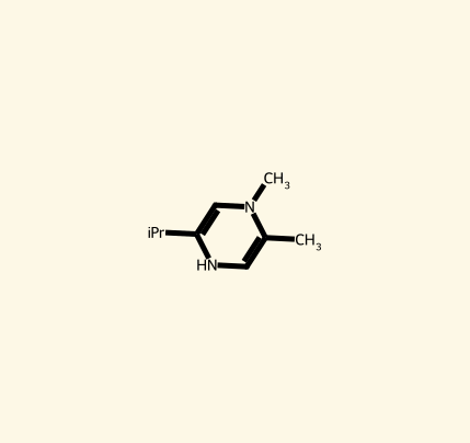 CC1=CNC(C(C)C)=CN1C